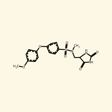 COc1ccc(Oc2ccc(S(=O)(=O)N(C)CC3NC(=O)NC3=O)cc2)cc1